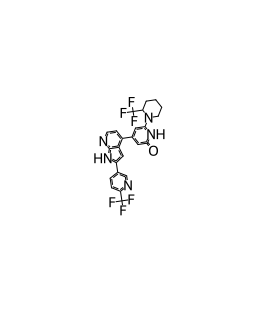 O=c1cc(-c2ccnc3[nH]c(-c4ccc(C(F)(F)F)nc4)cc23)cc(N2CCCCC2C(F)(F)F)[nH]1